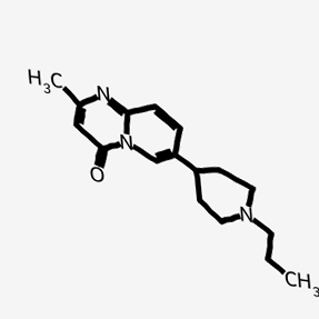 CCCN1CCC(c2ccc3nc(C)cc(=O)n3c2)CC1